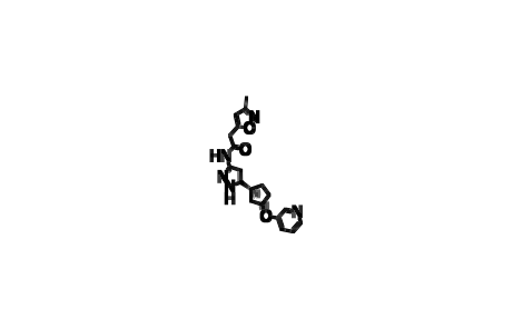 Cc1cc(CC(=O)Nc2cc([C@H]3CC[C@@H](Oc4cccnc4)C3)[nH]n2)on1